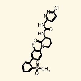 CS(=O)(=O)c1ccccc1-c1ccc(N2CCCC(NC(=O)Nc3ccc(Cl)nn3)C2=O)c(F)c1